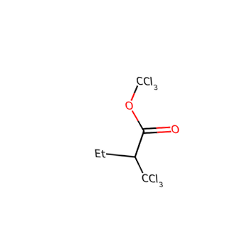 CCC(C(=O)OC(Cl)(Cl)Cl)C(Cl)(Cl)Cl